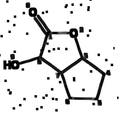 O=C1OC2CCCC2C1O